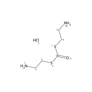 Cl.NCCSC(=O)SCCN